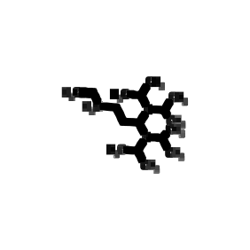 C=C[SiH2]CCC(N(C(C)C)C(C)C)N(C(C)C)C(C)C